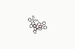 CC1(C)c2ccccc2-c2ccc(N(c3ccc4c(c3)C3(c5ccccc5-c5ccc(N(c6ccccc6)c6ccccc6)cc53)c3ccccc3-4)c3c(-c4ccccc4)cccc3-c3ccccc3)cc21